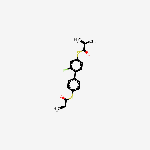 C=CC(=O)Sc1ccc(-c2ccc(SC(=O)C(=C)C)cc2F)cc1